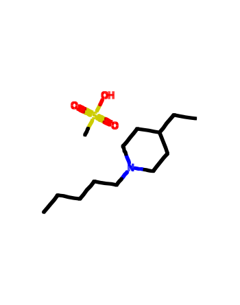 CCCCCN1CCC(CC)CC1.CS(=O)(=O)O